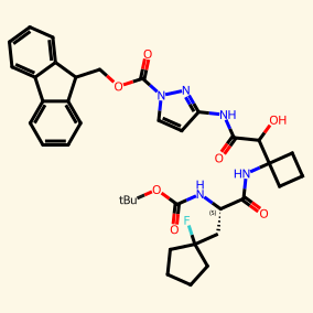 CC(C)(C)OC(=O)N[C@@H](CC1(F)CCCC1)C(=O)NC1(C(O)C(=O)Nc2ccn(C(=O)OCC3c4ccccc4-c4ccccc43)n2)CCC1